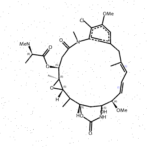 CN[C@H](C)C(=O)O[C@H]1CC(=O)N(C)c2cc(cc(OC)c2Cl)C/C(C)=C/C=C/[C@@H](OC)[C@@]2(O)C[C@H](OC(=O)N2)C(C)[C@@H]2O[C@@]12C